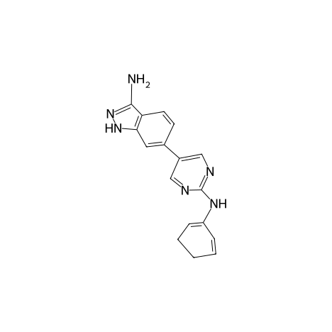 Nc1n[nH]c2cc(-c3cnc(NC4=CCCC=C4)nc3)ccc12